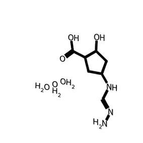 NN=CNC1CC(O)C(C(=O)O)C1.O.O.O